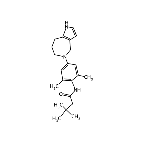 Cc1cc(N2CCCc3[nH]ccc3C2)cc(C)c1NC(=O)CC(C)(C)C